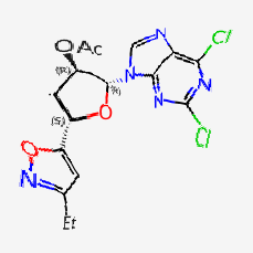 CCc1cc([C@@H]2[CH][C@@H](OC(C)=O)[C@H](n3cnc4c(Cl)nc(Cl)nc43)O2)on1